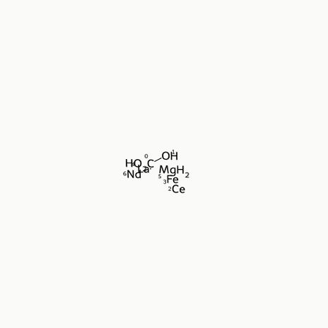 O=C(O)O.[Ce].[Fe].[La].[MgH2].[Nd]